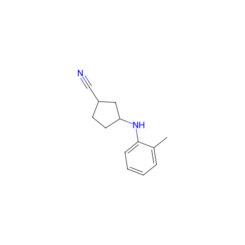 Cc1ccccc1NC1CCC(C#N)C1